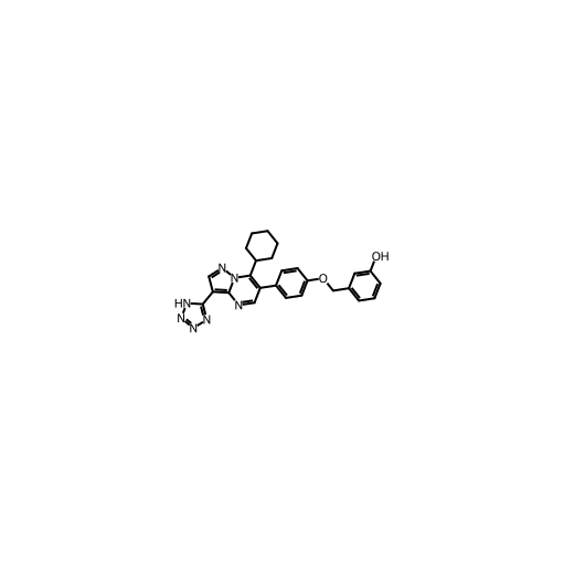 Oc1cccc(COc2ccc(-c3cnc4c(-c5nnn[nH]5)cnn4c3C3CCCCC3)cc2)c1